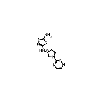 Nc1nnc(N[C@@H]2CCN(c3nccnn3)C2)s1